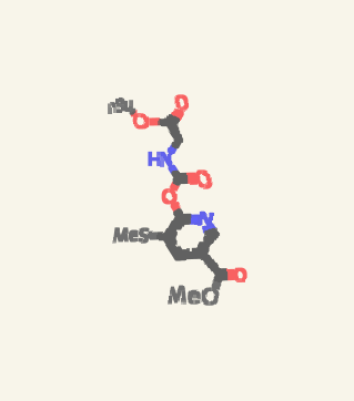 CCCCOC(=O)CNC(=O)Oc1ncc(C(=O)OC)cc1SC